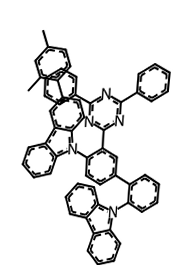 Cc1ccc(-c2ccc3c(c2)c2ccccc2n3-c2ccc(-c3ccccc3-n3c4ccccc4c4ccccc43)cc2-c2nc(-c3ccccc3)nc(-c3ccccc3)n2)c(C)c1